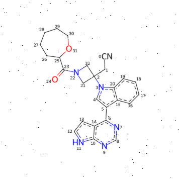 N#CCC1(n2cc(-c3ncnc4[nH]ccc34)c3ccccc32)CN(C(=O)C2CCCCCO2)C1